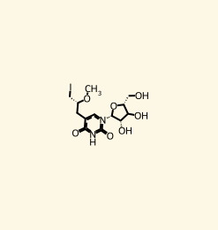 CO[C@@H](CI)Cc1cn([C@@H]2O[C@H](CO)C(O)[C@@H]2O)c(=O)[nH]c1=O